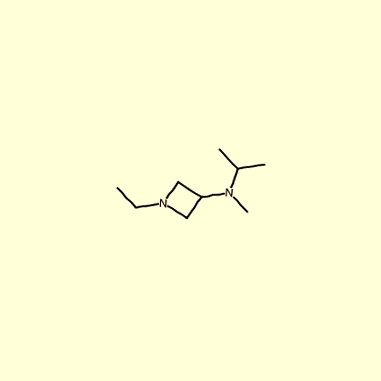 CCN1CC(N(C)C(C)C)C1